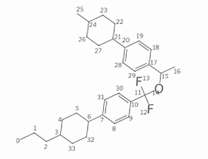 CCCC1CCC(c2ccc(C(F)(F)OC(C)c3ccc(C4CCC(C)CC4)cc3)cc2)CC1